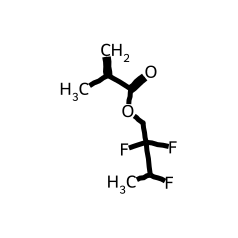 C=C(C)C(=O)OCC(F)(F)C(C)F